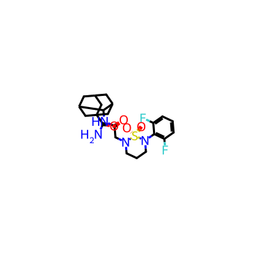 NC(=O)C12CC3CC(C1)C(NC(=O)CN1CCCN(c4c(F)cccc4F)S1(=O)=O)C(C3)C2